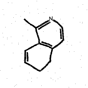 Cc1nccc2c1C=CCC2